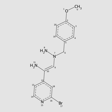 COc1ccc(CN(N)/C=C(\N)c2ccnc(Br)c2)cc1